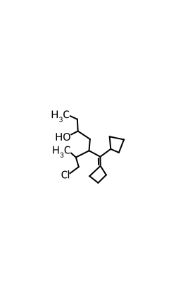 CCC(O)CC(C(=C1CCC1)C1CCC1)C(C)CCl